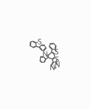 c1ccc2c(c1)sc1ccc(-n3c4ccccc4c4c5c6cncnc6sc5c5sc6ccccc6c5c43)cc12